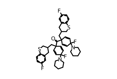 O=C(C1(CC2CSc3ccc(F)cc3C2)C=CC(F)(N2CCCCC2)C=C1)C1(CC2CSc3ccc(F)cc3C2)C=CC(F)(N2CCCCC2)C=C1